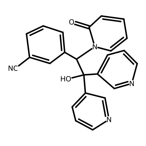 N#Cc1cccc(C(n2ccccc2=O)C(O)(c2cccnc2)c2cccnc2)c1